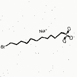 O=S(=O)([O-])CCCCCCCCCCCBr.[Na+]